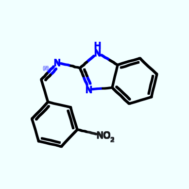 O=[N+]([O-])c1cccc(/C=N\c2nc3ccccc3[nH]2)c1